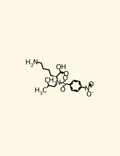 CC(C)CN([C@@H](CCCCN)C(=O)O)S(=O)(=O)c1ccc([N+](=O)[O-])cc1